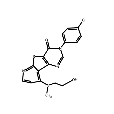 CN(CCO)c1ccnc2sc3c(=O)n(-c4ccc(Cl)cc4)cnc3c12